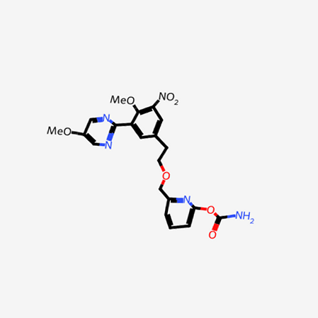 COc1cnc(-c2cc(CCOCc3cccc(OC(N)=O)n3)cc([N+](=O)[O-])c2OC)nc1